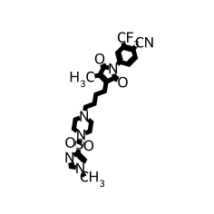 CC1=C(CCCCN2CCN(S(=O)(=O)c3cn(C)cn3)CC2)C(=O)N(c2ccc(C#N)c(C(F)(F)F)c2)C1=O